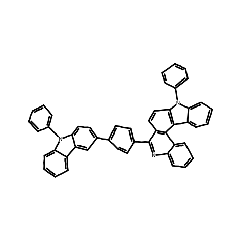 c1ccc(-n2c3ccccc3c3cc(-c4ccc(-c5nc6ccccc6c6c5ccc5c6c6ccccc6n5-c5ccccc5)cc4)ccc32)cc1